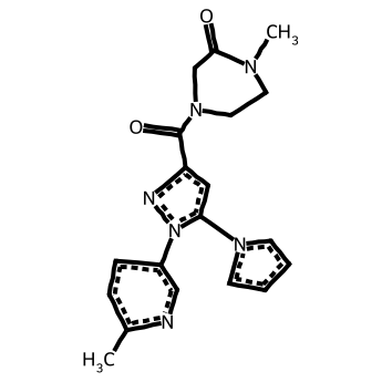 Cc1ccc(-n2nc(C(=O)N3CCN(C)C(=O)C3)cc2-n2cccc2)cn1